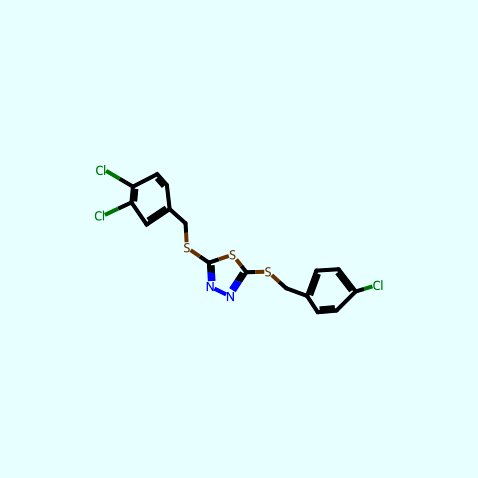 Clc1ccc(CSc2nnc(SCc3ccc(Cl)c(Cl)c3)s2)cc1